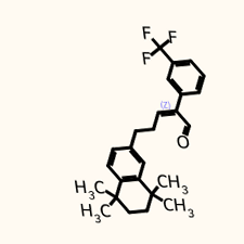 CC1(C)CCC(C)(C)c2cc(CC/C=C(\C=O)c3cccc(C(F)(F)F)c3)ccc21